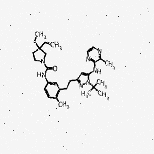 CCC1(CC)CCN(C(=O)Nc2ccc(C)c(CCc3cc(Nc4nccnc4C)n(C(C)(C)C)n3)c2)C1